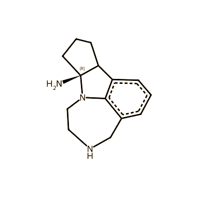 N[C@@]12CCCC1c1cccc3c1N2CCNC3